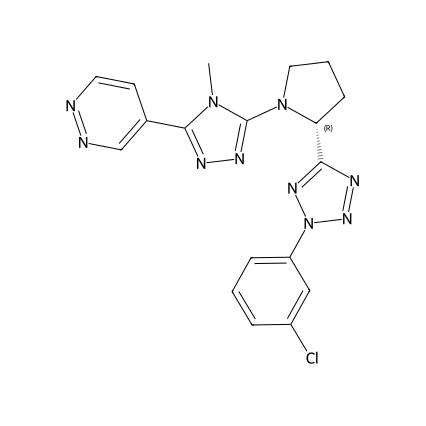 Cn1c(-c2ccnnc2)nnc1N1CCC[C@@H]1c1nnn(-c2cccc(Cl)c2)n1